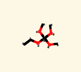 CCO[As](OC)(OC)OC